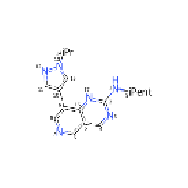 CCC[C@H](C)Nc1ncc2cncc(-c3cnn(C(C)C)c3)c2n1